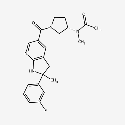 CC(=O)N(C)[C@H]1CCN(C(=O)c2cnc3c(c2)CC(C)(c2cccc(F)c2)N3)C1